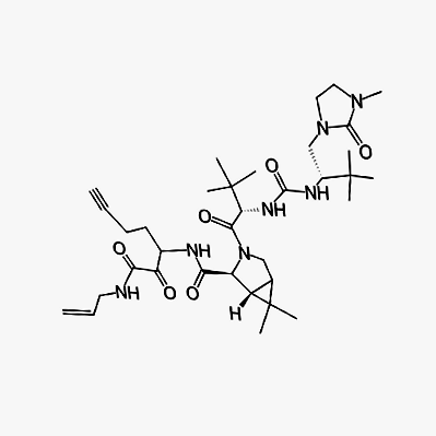 C#CCCC(NC(=O)[C@@H]1[C@@H]2C(CN1C(=O)[C@@H](NC(=O)N[C@H](CN1CCN(C)C1=O)C(C)(C)C)C(C)(C)C)C2(C)C)C(=O)C(=O)NCC=C